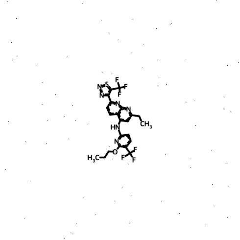 CCCOc1nc(Nc2cc(CC)nc3nc(-c4nnsc4C(F)(F)F)ccc23)ccc1C(F)(F)F